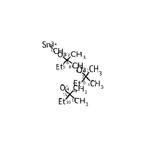 CCC(C)(C)[O-].CCC(C)(C)[O-].CCC(C)(C)[O-].[CH3][Sn+3]